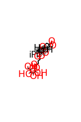 CC(C)[C@]12C[C@H]1[C@@H]1O[C@@]13[C@@]1(C)CCC4=C(COC4=O)[C@@H]1CO[C@]3(C)[C@@H]2OC(=O)CCCC(=O)OC1OC(CO)C(O)C(O)C1O